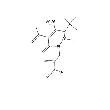 C=C(C)C1=C(N)C(C(C)(C)C)N(C)N(CC(=C)C(=C)F)C1=C